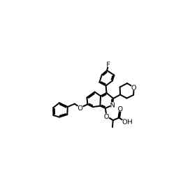 CC(Oc1nc(C2CCOCC2)c(-c2ccc(F)cc2)c2ccc(OCc3ccccc3)cc12)C(=O)O